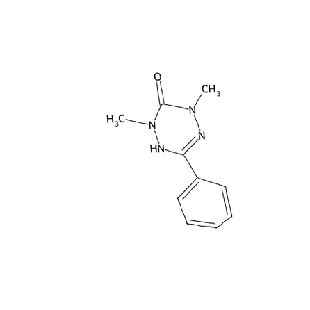 CN1N=C(c2ccccc2)NN(C)C1=O